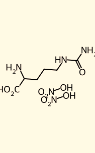 NC(=O)NCCCC(N)C(=O)O.O=[N+]([O-])O.O=[N+]([O-])O